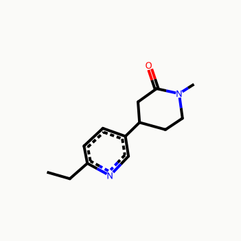 CCc1ccc(C2CCN(C)C(=O)C2)cn1